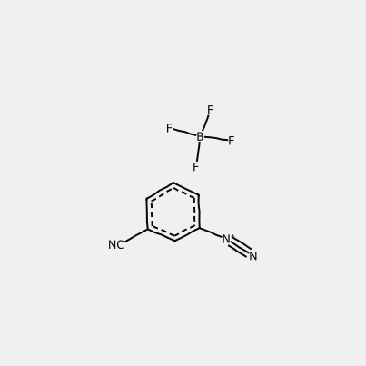 F[B-](F)(F)F.N#Cc1cccc([N+]#N)c1